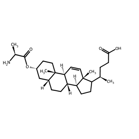 C[C@H](N)C(=O)O[C@@H]1CC[C@@]2(C)[C@H](CC[C@@H]3[C@@H]2C=C[C@]2(C)C([C@H](C)CCC(=O)O)CC[C@@H]32)C1